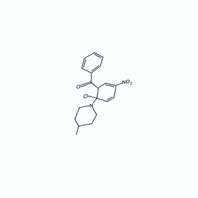 CC1CCN(C2(Cl)C=CC([N+](=O)[O-])=CC2C(=O)c2ccccc2)CC1